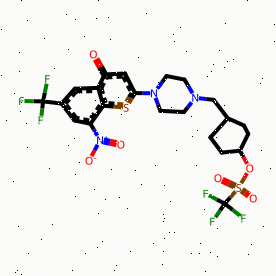 O=c1cc(N2CCN(CC3CCC(OS(=O)(=O)C(F)(F)F)CC3)CC2)sc2c([N+](=O)[O-])cc(C(F)(F)F)cc12